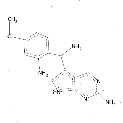 COc1ccc(C(N)c2c[nH]c3nc(N)ncc23)c(N)c1